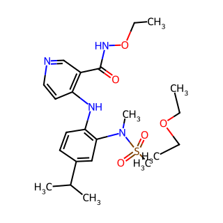 CCOCC.CCONC(=O)c1cnccc1Nc1ccc(C(C)C)cc1N(C)S(C)(=O)=O